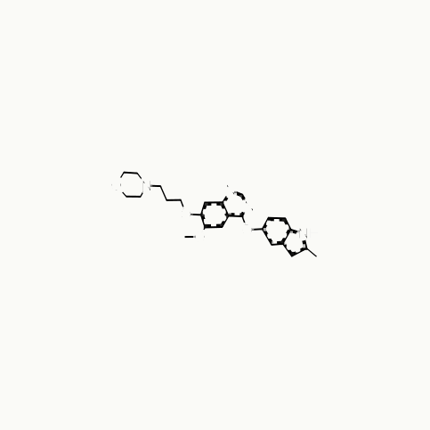 COc1cc2c(Oc3ccc4[nH]c(C)cc4c3)ncnc2cc1OCCCN1CCOCC1